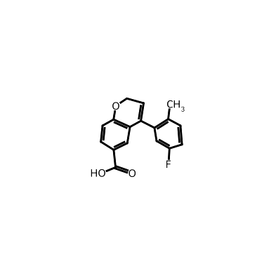 Cc1ccc(F)cc1C1=CCOc2ccc(C(=O)O)cc21